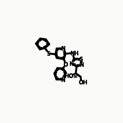 OC[C@@H](O)c1nsc(Nc2ncc(Sc3ccccc3)cc2Oc2cccnc2)n1